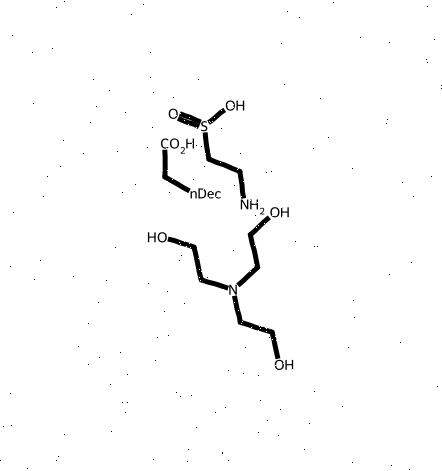 CCCCCCCCCCCC(=O)O.NCCS(=O)O.OCCN(CCO)CCO